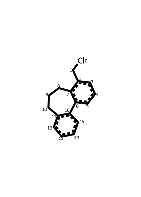 ClCc1cccc2c1CCCc1ccccc1-2